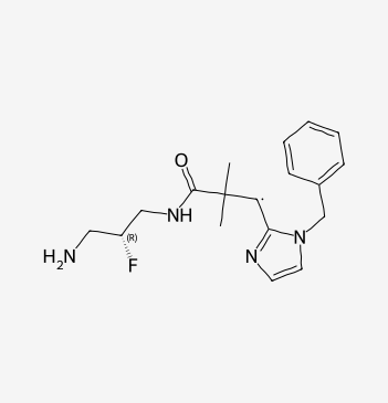 CC(C)([CH]c1nccn1Cc1ccccc1)C(=O)NC[C@H](F)CN